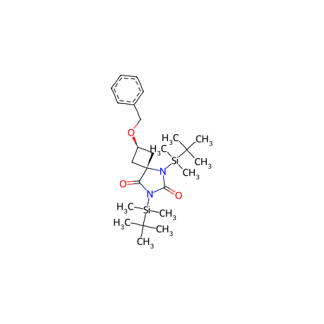 CC(C)(C)[Si](C)(C)N1C(=O)N([Si](C)(C)C(C)(C)C)[C@]2(C[C@H](OCc3ccccc3)C2)C1=O